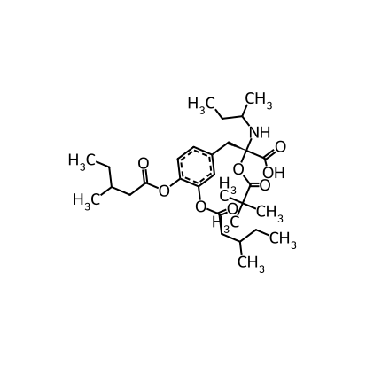 CCC(C)CC(=O)Oc1ccc(C[C@](NC(C)CC)(OC(=O)C(C)(C)C)C(=O)O)cc1OC(=O)CC(C)CC